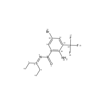 CCS(CC)=NC(=O)c1cc(Br)cc(C(F)(F)F)c1N